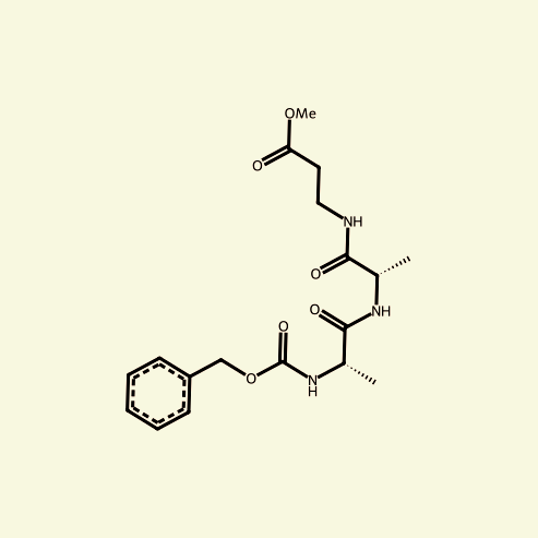 COC(=O)CCNC(=O)[C@H](C)NC(=O)[C@H](C)NC(=O)OCc1ccccc1